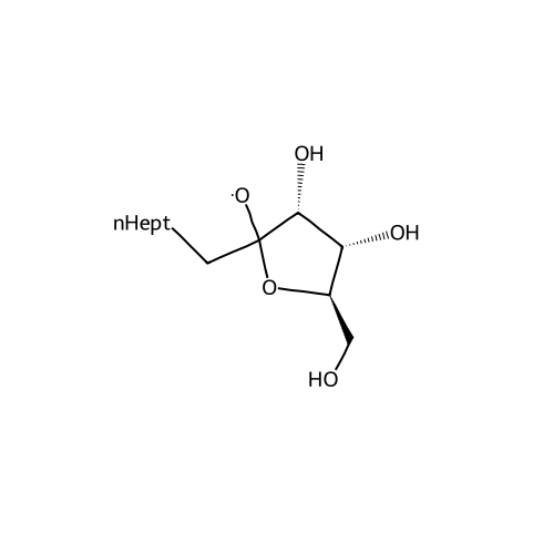 CCCCCCCCC1([O])O[C@H](CO)[C@@H](O)[C@H]1O